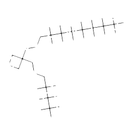 FC(F)(F)C(F)(F)C(F)(F)COCC1(COCC(F)(F)C(F)(F)C(F)(F)C(F)(F)C(F)(F)C(F)(F)C(F)(F)F)COC1